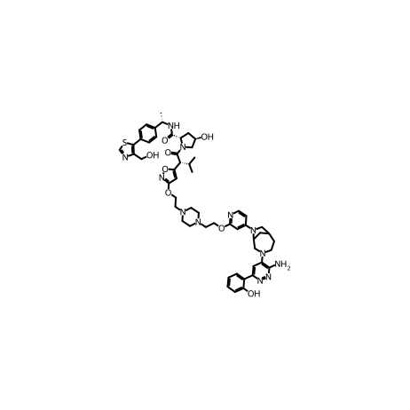 CC(C)[C@@H](C(=O)N1C[C@H](O)C[C@H]1C(=O)N[C@@H](C)c1ccc(-c2scnc2CO)cc1)c1cc(OCCN2CCN(CCOc3cc(N4CC5CCN(c6cc(-c7ccccc7O)nnc6N)CC4C5)ccn3)CC2)no1